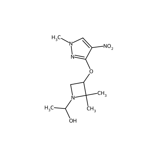 CC(O)N1CC(Oc2nn(C)cc2[N+](=O)[O-])C1(C)C